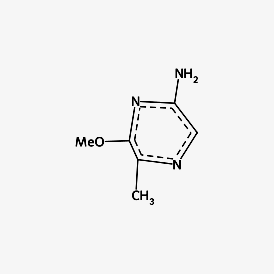 COc1nc(N)cnc1C